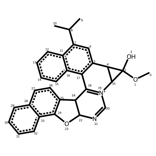 COC1(O)C2c3cc(C(C)C)c4ccccc4c3C3=[N+](C=NC4Oc5c(ccc6ccccc56)C34)C21